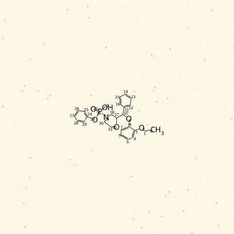 CCOc1ccccc1OC(c1ccccc1)C1CN(P(=O)(O)Oc2ccccc2)CCO1